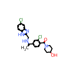 C=C(NCc1nc2cc(Cl)ccc2[nH]1)c1ccc(C(=O)N2CCC(O)CC2)c(Cl)c1